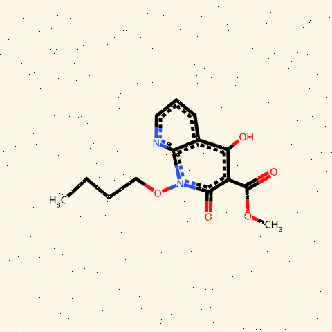 CCCCOn1c(=O)c(C(=O)OC)c(O)c2cccnc21